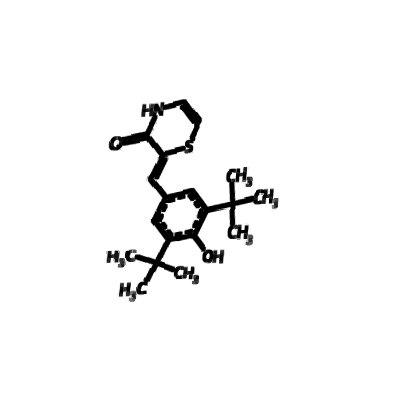 CC(C)(C)c1cc(/C=C2\SC=CNC2=O)cc(C(C)(C)C)c1O